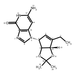 CCC1=C[C@@H](n2cnc3c(=O)[nH]c(N)cc32)C2OC(C)(C)O[C@@H]12